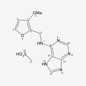 COc1ccoc1CNc1ncnc2nc[nH]c12.CS(=O)(=O)O